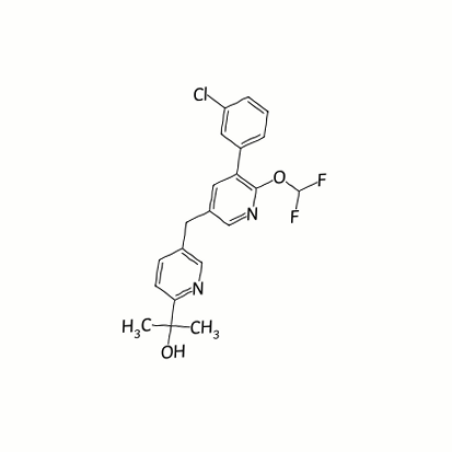 CC(C)(O)c1ccc(Cc2cnc(OC(F)F)c(-c3cccc(Cl)c3)c2)cn1